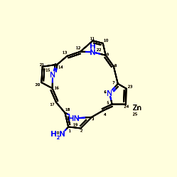 Nc1cc2cc3nc(cc4ccc(cc5nc(cc1[nH]2)C=C5)[nH]4)C=C3.[Zn]